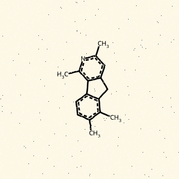 Cc1cc2c(c(C)n1)-c1ccc(C)c(C)c1C2